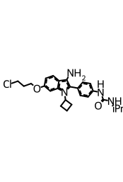 CC(C)NC(=O)Nc1ccc(-c2c(N)c3ccc(OCCCCl)cc3n2C2CCC2)cc1